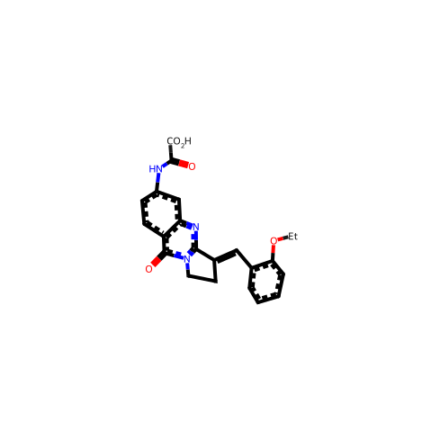 CCOc1ccccc1C=C1CCn2c1nc1cc(NC(=O)C(=O)O)ccc1c2=O